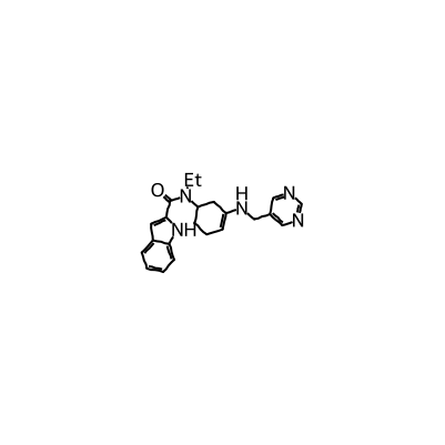 CCN(C(=O)c1cc2ccccc2[nH]1)C1CCC=C(NCc2cncnc2)C1